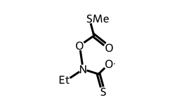 CCN(OC(=O)SC)C([O])=S